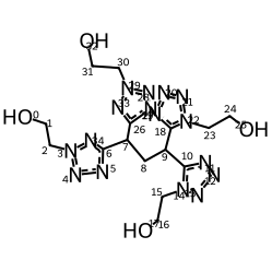 OCCn1nnc(C(CC(c2nnnn2CCO)c2nnnn2CCO)c2nnn(CCO)n2)n1